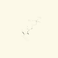 CC(C)=C(CC(C)(C)C)C(=O)NCCC[N+](C)(C)C